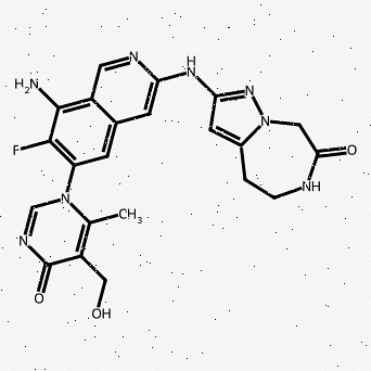 Cc1c(CO)c(=O)ncn1-c1cc2cc(Nc3cc4n(n3)CC(=O)NCC4)ncc2c(N)c1F